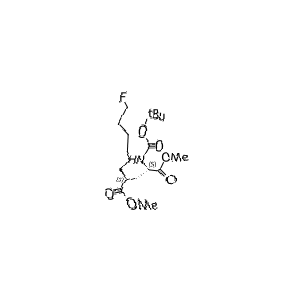 COC(=O)[C@@H](CCCCCCF)C[C@H](NC(=O)OC(C)(C)C)C(=O)OC